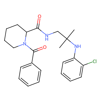 CC(C)(CNC(=O)C1CCCCN1C(=O)c1ccccc1)Nc1ccccc1Cl